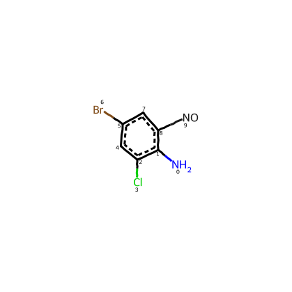 Nc1c(Cl)cc(Br)cc1N=O